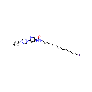 CC(C)N1CCN(c2ccc(C(=O)NCCCCCCCCCCCCCCCCI)cn2)CC1